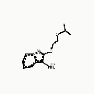 CC(C)OCCOc1nn2ccccc2c1N.Cl